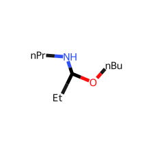 CCCCOC(CC)NCCC